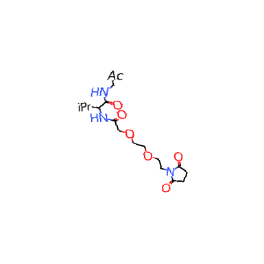 CC(=O)CNC(=O)C(NC(=O)COCCOCCN1C(=O)CCC1=O)C(C)C